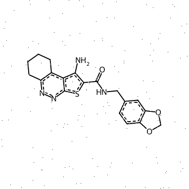 Nc1c(C(=O)NCc2ccc3c(c2)OCO3)sc2nnc3c(c12)CCCC3